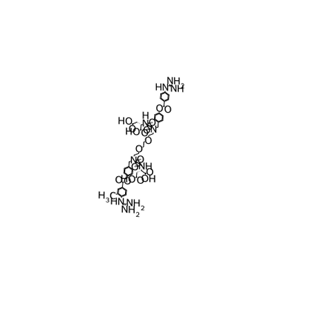 Cc1cc(C(=O)Oc2ccc(CN(CCOCCOCCN(Cc3ccc(OC(=O)c4ccc(NC(=N)N)cc4)cc3)S(=O)(=O)N[C@@H](CC(=O)O)C(=O)O)S(=O)(=O)N[C@@H](CC(=O)O)C(=O)O)cc2)ccc1NC(N)N